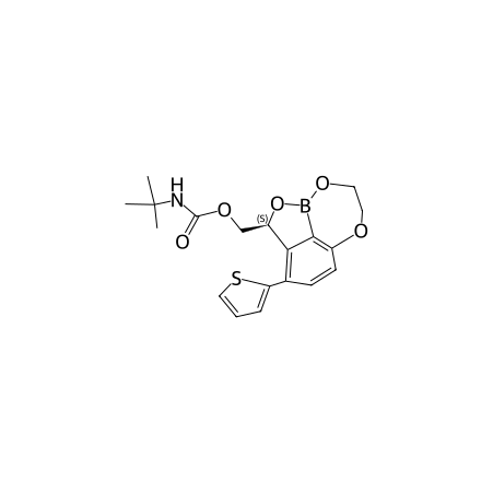 CC(C)(C)NC(=O)OC[C@H]1OB2OCCOc3ccc(-c4cccs4)c1c32